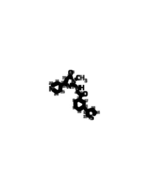 Cn1c(NCC(=O)c2cccc(-c3ccsc3)c2)nc(-c2ccncc2)cc1=O